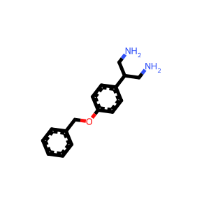 NCC(CN)c1ccc(OCc2ccccc2)cc1